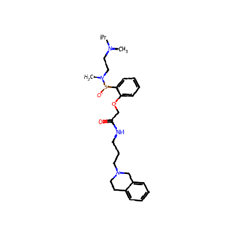 CC(C)N(C)CCN(C)[S+]([O-])c1ccccc1OCC(=O)NCCCN1CCc2ccccc2C1